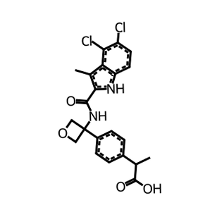 Cc1c(C(=O)NC2(c3ccc(C(C)C(=O)O)cc3)COC2)[nH]c2ccc(Cl)c(Cl)c12